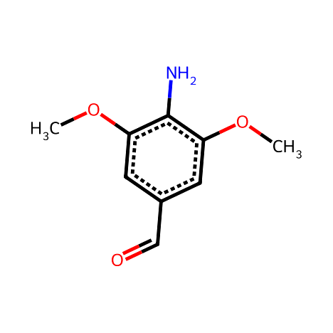 COc1cc(C=O)cc(OC)c1N